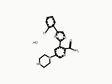 Cl.NC(=O)c1ncc(N2CCNCC2)cc1-c1nc(-c2ccccc2Cl)cs1